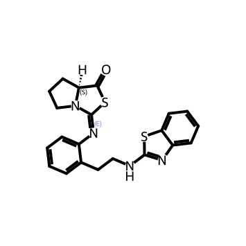 O=C1S/C(=N/c2ccccc2CCNc2nc3ccccc3s2)N2CCC[C@@H]12